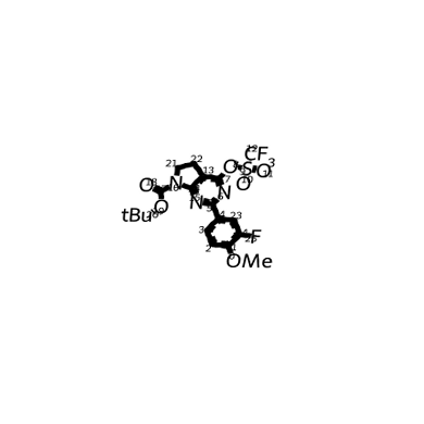 COc1ccc(-c2nc(OS(=O)(=O)C(F)(F)F)c3c(n2)N(C(=O)OC(C)(C)C)CC3)cc1F